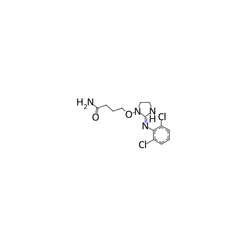 NC(=O)CCCON1CCN/C1=N\c1c(Cl)cccc1Cl